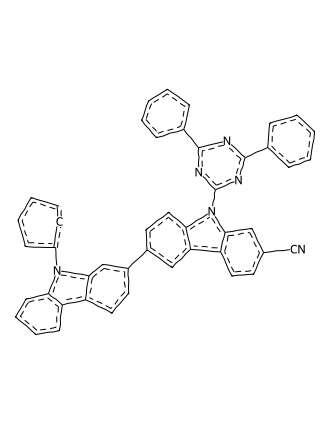 N#Cc1ccc2c3cc(-c4ccc5c6ccccc6n(-c6ccccc6)c5c4)ccc3n(-c3nc(-c4ccccc4)nc(-c4ccccc4)n3)c2c1